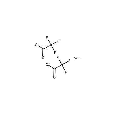 O=C([O-])C(F)(F)F.O=C([O-])C(F)(F)F.[Zn+2]